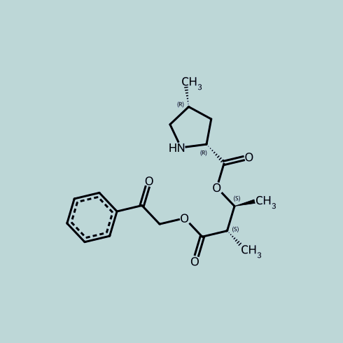 C[C@H]1CN[C@@H](C(=O)O[C@@H](C)[C@H](C)C(=O)OCC(=O)c2ccccc2)C1